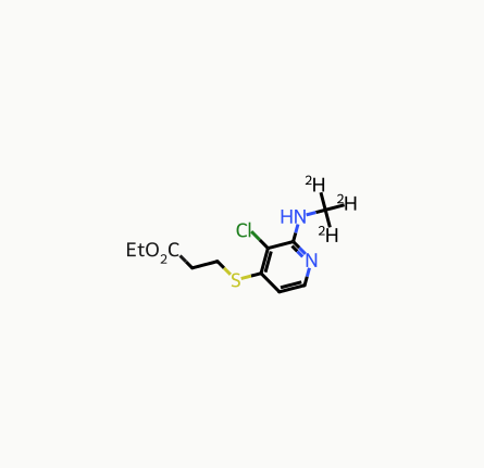 [2H]C([2H])([2H])Nc1nccc(SCCC(=O)OCC)c1Cl